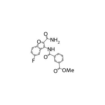 COC(=O)c1cccc(C(=O)Nc2c(C(N)=O)oc3ccc(F)cc23)c1